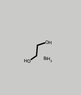 OCCO.[BiH3]